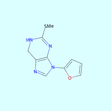 CSC1=Nc2c(ncn2-c2ccco2)CN1